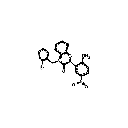 Nc1ccc([N+](=O)[O-])cc1-c1nc2ccccc2n(Cc2ccccc2Br)c1=O